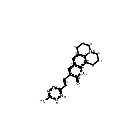 Cc1nnc(/C=C/c2cc3cc4c5c(c3oc2=O)CCCN5CCC4)nn1